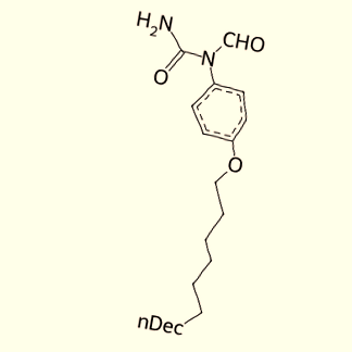 CCCCCCCCCCCCCCCCOc1ccc(N(C=O)C(N)=O)cc1